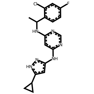 CC(Nc1cc(Nc2cc(C3CC3)[nH]n2)ncn1)c1ccc(F)cc1Cl